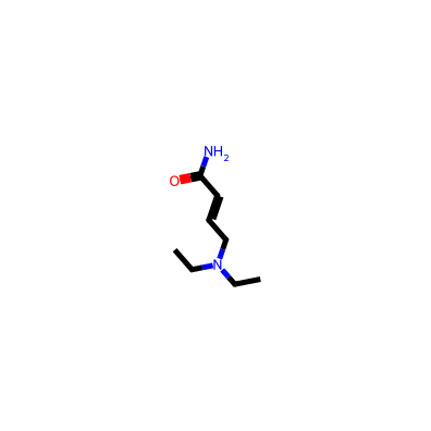 CCN(CC)CC=CC(N)=O